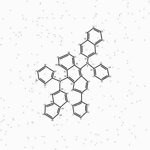 c1ccc(-c2ccc3c(N(c4ccccc4)c4ccc5ccccc5c4)c4cccnc4c(N(c4ccccc4)c4ccc5ccccc5c4)c3c2)cc1